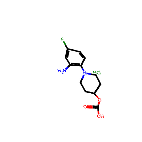 Cl.Nc1cc(F)ccc1N1CCC(OC(=O)O)CC1